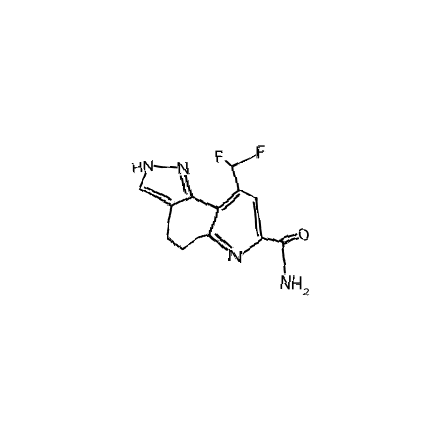 NC(=O)c1cc(C(F)F)c2c(n1)CCc1c[nH]nc1-2